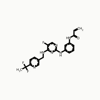 C=CC(=O)Nc1cccc(Nc2ncc(F)c(NCc3ccc(C(C)(F)F)nc3)n2)c1